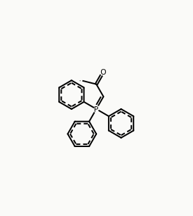 [CH2]C(=O)C=P(c1ccccc1)(c1ccccc1)c1ccccc1